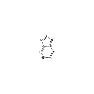 [c]1c[nH]cc2ccnc1-2